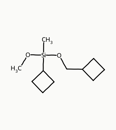 CO[Si](C)(OCC1CCC1)C1CCC1